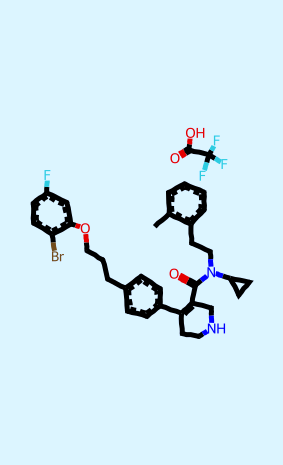 Cc1ccccc1CCN(C(=O)C1=C(c2ccc(CCCOc3cc(F)ccc3Br)cc2)CCNC1)C1CC1.O=C(O)C(F)(F)F